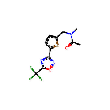 CC(=O)N(C)Cc1ccc(-c2noc(C(F)(F)F)n2)s1